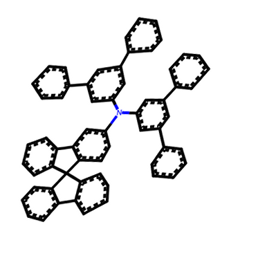 c1ccc(-c2cc(-c3ccccc3)cc(N(c3cc(-c4ccccc4)cc(-c4ccccc4)c3)c3ccc4c(c3)-c3ccccc3C43c4ccccc4-c4ccccc43)c2)cc1